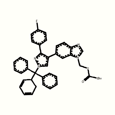 CC(C)(C)C(=O)OCn1cnc2ccc(-c3cn(C(c4ccccc4)(c4ccccc4)C4C=CC=CC4)nc3-c3ccc(F)cc3)cc21